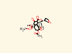 COC(=O)[C@@H]1C[C@H](OC(C)=O)C(=O)C2[C@@]3(C)C[C@@H](C4CCOC4)OC(=O)C3C(=O)C[C@]21C